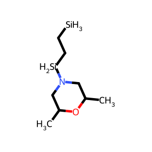 CC1CN([SiH2]CC[SiH3])CC(C)O1